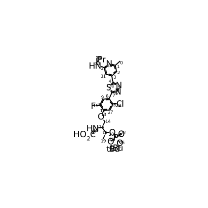 Cc1cc(-c2nnc(-c3cc(F)c(OC[C@H](NC(=O)O)[C@H](C)OP(=O)(OC(C)(C)C)OC(C)(C)C)cc3Cl)s2)cc(NC(C)C)n1